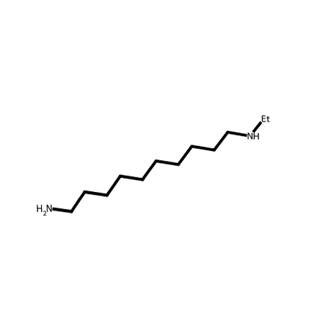 CCNCCCCCCCCCCN